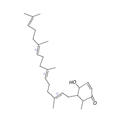 CC(C)=CCC/C(C)=C/CC/C(C)=C/CC/C(C)=C/CC1C(O)C=CC(=O)C1C